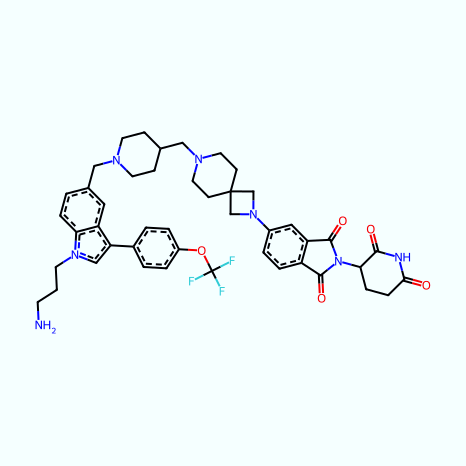 NCCCn1cc(-c2ccc(OC(F)(F)F)cc2)c2cc(CN3CCC(CN4CCC5(CC4)CN(c4ccc6c(c4)C(=O)N(C4CCC(=O)NC4=O)C6=O)C5)CC3)ccc21